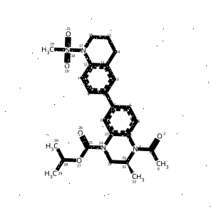 CC(=O)N1c2ccc(-c3ccc4c(c3)CCCN4S(C)(=O)=O)cc2N(C(=O)OC(C)C)C[C@@H]1C